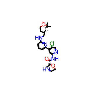 CC1(C)CC(CNc2cccc(-c3cc(NC(=O)[C@H]4CNCCO4)ncc3Cl)n2)CCO1